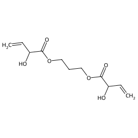 C=CC(O)C(=O)OCCCOC(=O)C(O)C=C